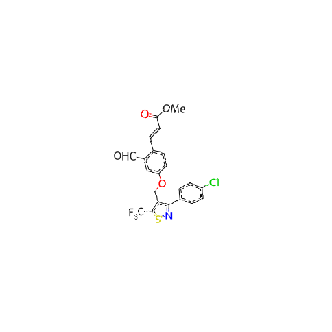 COC(=O)C=Cc1ccc(OCc2c(-c3ccc(Cl)cc3)nsc2C(F)(F)F)cc1C=O